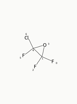 FC1(F)OC1(F)Cl